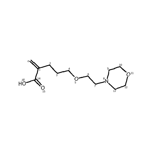 C=C(CCCOCCN1CCOCC1)C(=O)O